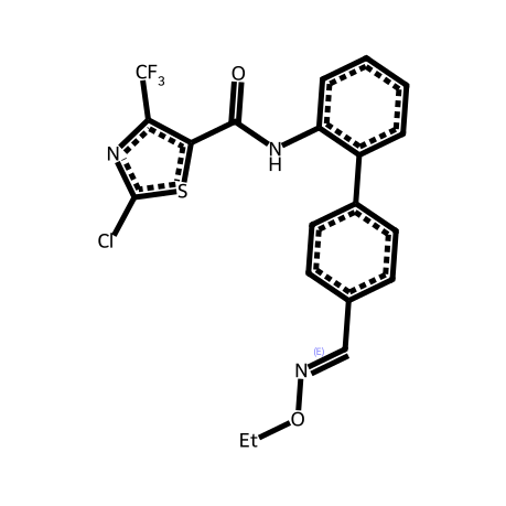 CCO/N=C/c1ccc(-c2ccccc2NC(=O)c2sc(Cl)nc2C(F)(F)F)cc1